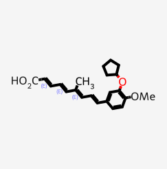 COc1ccc(C=C/C=C(C)/C=C/C=C/C(=O)O)cc1OC1CCCC1